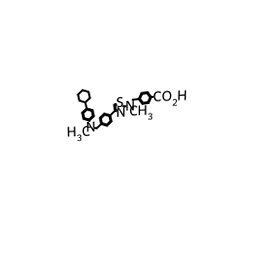 CN(Cc1ccc(-c2csc(N(C)Cc3ccc(C(=O)O)cc3)n2)cc1)c1ccc(C2CCCCC2)cc1